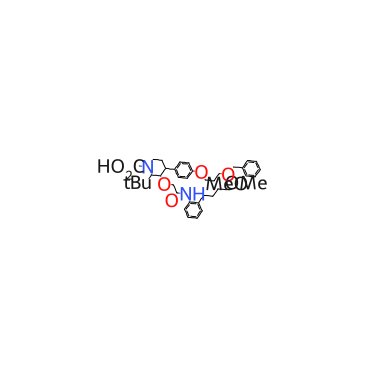 COCCCCc1ccccc1NC(=O)COC1C(c2ccc(OCCCOCc3ccccc3OC)cc2)CCN(C(=O)O)C1C(C)(C)C